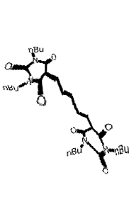 CCCCN1C(=O)C(=CC=CC=CC2C(=O)N(CCCC)C(=O)N(CCCC)C2=O)C(=O)N(CCCC)C1=O